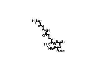 C=C(CCCC(=O)NCCCCN)OCC(CC)OC(CO)OC